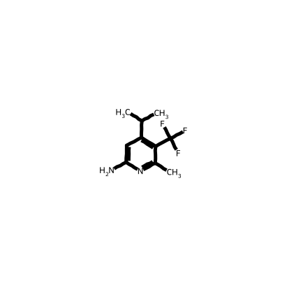 Cc1nc(N)cc(C(C)C)c1C(F)(F)F